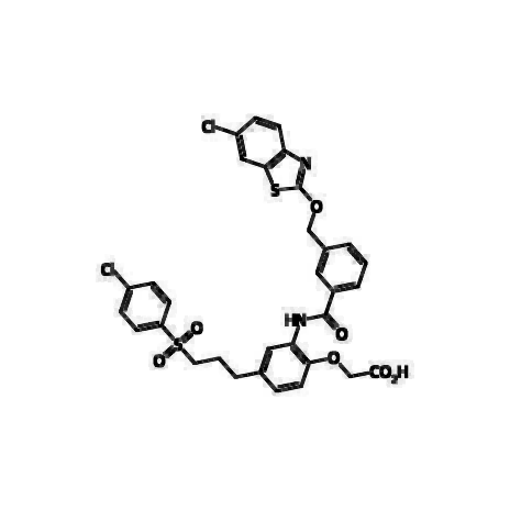 O=C(O)COc1ccc(CCCS(=O)(=O)c2ccc(Cl)cc2)cc1NC(=O)c1cccc(COc2nc3ccc(Cl)cc3s2)c1